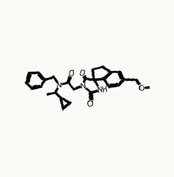 COCc1ccc2c(c1)CCC21NC(=O)N(CC(=O)N(Cc2ccccc2)C(C)C2CC2)C1=O